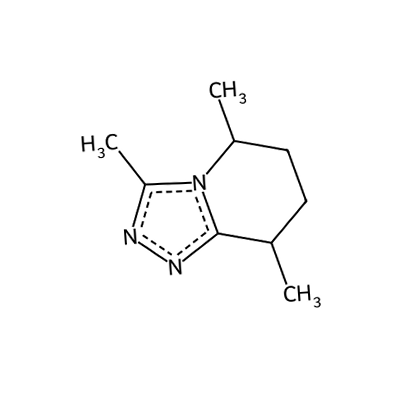 Cc1nnc2n1C(C)CCC2C